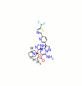 CC(=O)c1c([C@@H]2C[C@H]3CC[C@@H](C2)N3C(=O)c2nc[nH]n2)nc2c(-c3ccc(-c4ncc(C(F)F)s4)nc3)cnn2c1N